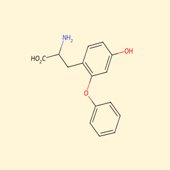 NC(Cc1ccc(O)cc1Oc1ccccc1)C(=O)O